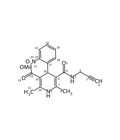 C#CCNC(=O)C1=C(C)NC(C)=C(C(=O)OC)C1c1ccccc1[N+](=O)[O-]